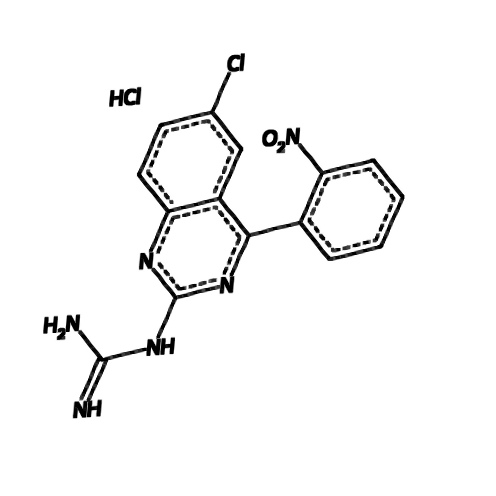 Cl.N=C(N)Nc1nc(-c2ccccc2[N+](=O)[O-])c2cc(Cl)ccc2n1